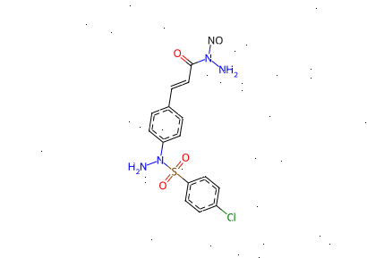 NN(N=O)C(=O)/C=C/c1ccc(N(N)S(=O)(=O)c2ccc(Cl)cc2)cc1